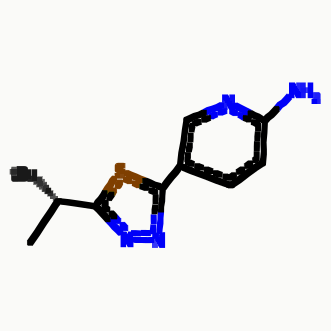 C[C@@H](c1nnc(-c2ccc(N)nc2)s1)C(C)(C)C